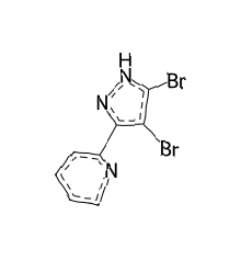 Brc1[nH]nc(-c2ccccn2)c1Br